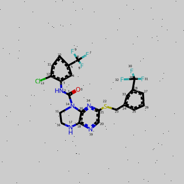 O=C(Nc1cc(C(F)(F)F)ccc1Cl)N1CCNc2ncc(SCc3cccc(C(F)(F)F)c3)nc21